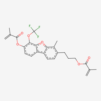 C=C(C)C(=O)OCCCc1ccc2c(oc3c(OC(F)(F)F)c(OC(=O)C(=C)C)ccc32)c1C